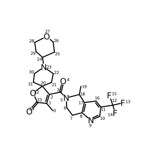 CC1=C(C(=O)N2CCc3ncc(C(F)(F)F)cc3C2C)C2(CCN(C3CCOCC3)CC2)OC1=O